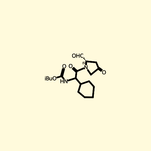 CC(C)COC(=O)NC(C(=O)N1CC(=O)C[C@H]1C=O)C1CCCCC1